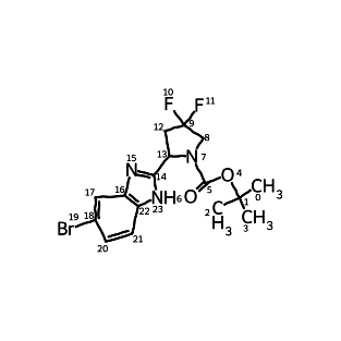 CC(C)(C)OC(=O)N1CC(F)(F)CC1c1nc2cc(Br)ccc2[nH]1